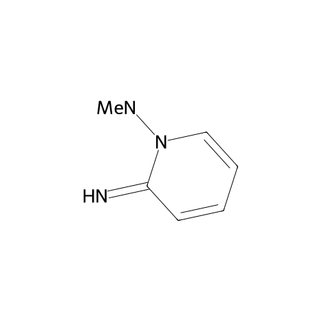 CNn1ccccc1=N